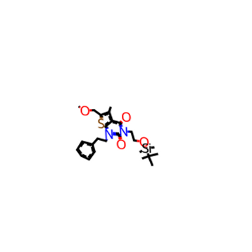 COCc1sc2c(c1C)c(=O)n(CCO[Si](C)(C)C(C)(C)C)c(=O)n2CCc1ccccc1